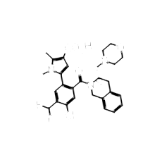 Cc1c(C(=O)O)cc(-c2cc(C(F)F)c(Cl)cc2C(=O)N2Cc3ccccc3C[C@H]2CN2CCOCC2)n1C